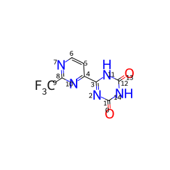 O=c1nc(-c2ccnc(C(F)(F)F)n2)[nH]c(=O)[nH]1